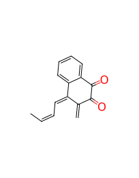 C=C1C(=O)C(=O)c2ccccc2/C1=C/C=C\C